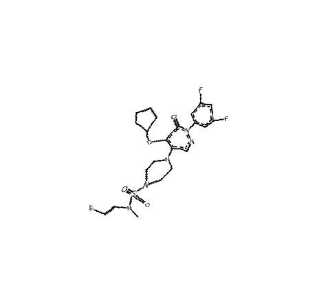 CN(CCF)S(=O)(=O)N1CCN(c2cnn(-c3cc(F)cc(F)c3)c(=O)c2OC2CCCC2)CC1